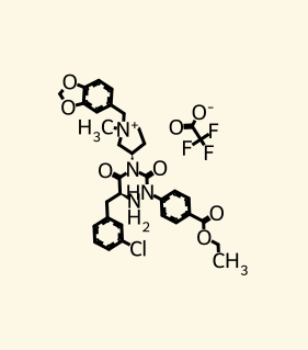 CCOC(=O)c1ccc(NC(=O)N(C(=O)[C@@H](N)Cc2cccc(Cl)c2)[C@H]2CC[N+](C)(Cc3ccc4c(c3)OCO4)C2)cc1.O=C([O-])C(F)(F)F